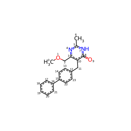 COCc1nc(C)[nH]c(=O)c1Cc1ccc(-c2ccccc2)cc1